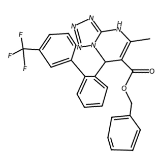 CC1=C(C(=O)OCc2ccccc2)C(c2ccccc2-c2cccc(C(F)(F)F)c2)n2nnnc2N1